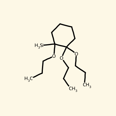 CCCOC1([SiH3])CCCCC1(OCCC)OCCC